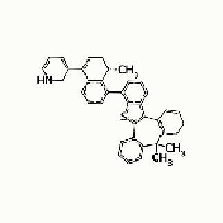 C[C@H]1CC=C(C2=CC=CNC2)c2cccc(-c3cccc4c5c(sc34)-c3ccccc3C(C)(C)C3=C5C=CCC3)c21